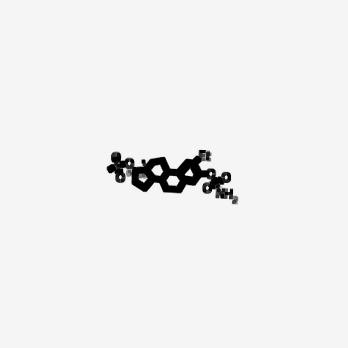 CCc1cc2c(cc1OS(N)(=O)=O)CCC1C2CC[C@@]2(C)C1CC[C@@H]2OS(C)(=O)=O